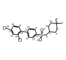 CC1(C)CCC(CS(=O)(=O)c2ccc(-c3ccc(Cl)cc3Cl)cc2)CC1